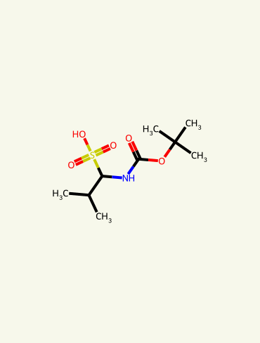 CC(C)C(NC(=O)OC(C)(C)C)S(=O)(=O)O